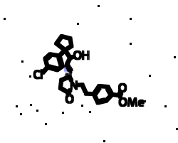 COC(=O)c1ccc(CCN2C(=O)CC[C@@H]2/C=C/C(O)C2(c3ccc(Cl)cc3)CCCC2)cc1